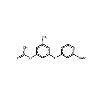 COc1cc(Oc2cc(C)cc(O[PH](=O)O)c2)ncn1